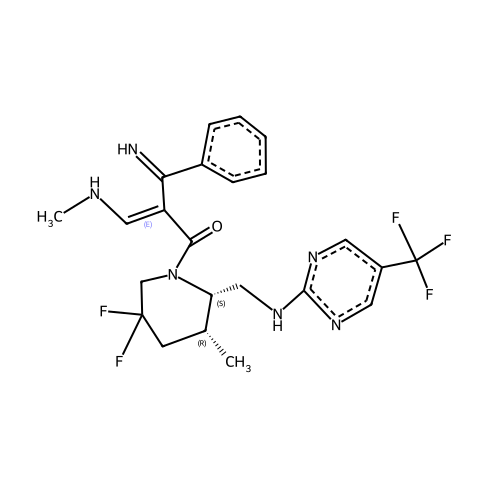 CN/C=C(\C(=N)c1ccccc1)C(=O)N1CC(F)(F)C[C@@H](C)[C@H]1CNc1ncc(C(F)(F)F)cn1